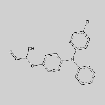 C=CC(O)Oc1ccc(N(c2ccccc2)c2ccc(Cl)cc2)cc1